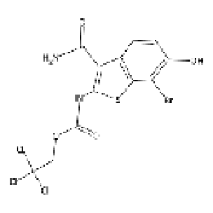 NC(=O)c1c(NC(=O)OCC(Cl)(Cl)Cl)sc2c(Br)c(O)ccc12